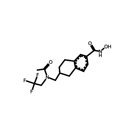 CC(=O)N(CC1CCc2cc(C(=O)NO)ccc2C1)CC(F)(F)F